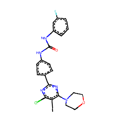 Cc1c(Cl)nc(-c2ccc(NC(=O)Nc3cccc(F)c3)cc2)nc1N1CCOCC1